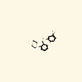 Brc1ccc2c(c1)N=Cc1c(cccc1N1CCNCC1)O2